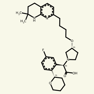 CC1(C)CCc2ccc(CCCCO[C@@H]3CCN([C@@H](C(=O)O)c4cc(F)ccc4[C@@H]4CCCCO4)C3)nc2N1